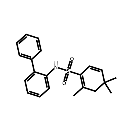 CC1=C(S(=O)(=O)Nc2ccccc2-c2ccccc2)C=CC(C)(C)C1